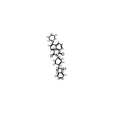 O=C1c2cccc3c(N4CCCCC4)ccc(c23)C(=O)N1c1ccc(-c2nc3ccccc3[nH]2)cc1